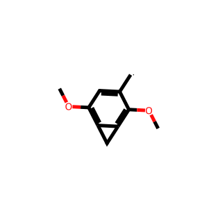 [CH2]c1cc(OC)c2c(c1OC)C2